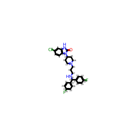 O=c1[nH]c2cc(Cl)ccc2n1C1CCN(CCCNC(c2ccc(F)cc2)c2ccc(F)cc2)CC1